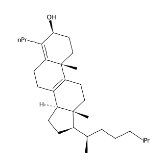 CCCC1=C2CCC3=C(CC[C@]4(C)[C@@H]([C@H](C)CCCC(C)C)CC[C@@H]34)[C@@]2(C)CC[C@@H]1O